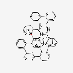 N#Cc1cc(-c2ccccc2-c2nc(-c3ccccc3)nc(-c3ccccc3-c3ccccc3)n2)ccc1-c1ccccc1-c1cccc(-c2cccc3c2-c2cccc4cccc-3c24)c1